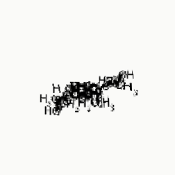 C=C(C)C1CC(COC(=O)C[N+](C)(C)CCO)C2CC[C@@]3(C)C(CCC4[C@@]5(C)CCC(OC(=O)C[N+](C)(C)CCO)C(C)(C)C5CC[C@]43C)C12